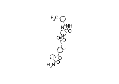 Cc1cc(C(=O)N2CCCC2C(N)=O)ccc1CCS(=O)(=O)N1CCC2(CC1)N=C(c1cccc(C(F)(F)F)c1)NC2=O